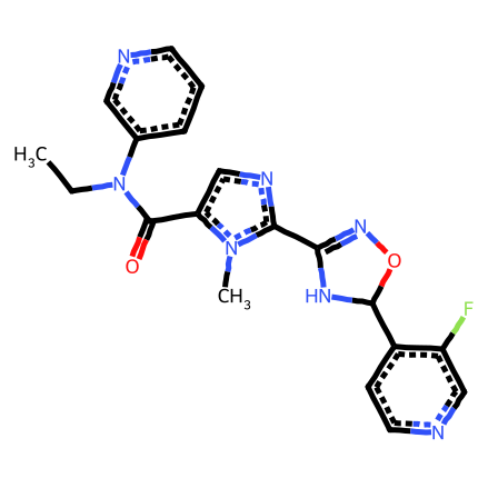 CCN(C(=O)c1cnc(C2=NOC(c3ccncc3F)N2)n1C)c1cccnc1